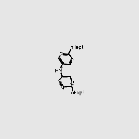 CCCCCCCc1ncc(Nc2cnc(CCCCCCC)nc2)cn1